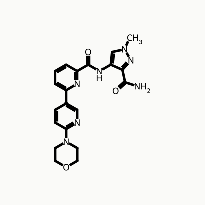 Cn1cc(NC(=O)c2cccc(-c3ccc(N4CCOCC4)nc3)n2)c(C(N)=O)n1